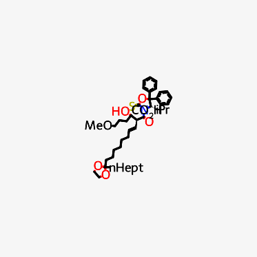 CCCCCCCC1(CCCCCCC=C[C@H](C(=O)N2C(=S)OC(c3ccccc3)(c3ccccc3)[C@@H]2C(C)C)[C@@](O)(CCCOC)C(=O)O)OCCO1